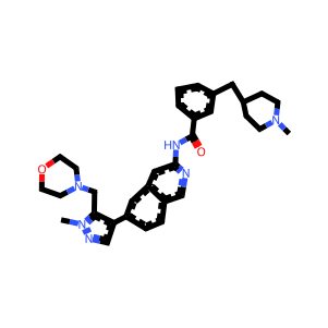 CN1CCC(Cc2cccc(C(=O)Nc3cc4cc(-c5cnn(C)c5CN5CCOCC5)ccc4cn3)c2)CC1